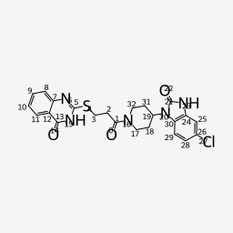 O=C(CCSc1nc2ccccc2c(=O)[nH]1)N1CCC(n2c(=O)[nH]c3cc(Cl)ccc32)CC1